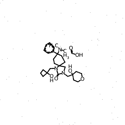 CN(C)C1(c2ccccc2)CCC2(CC1)CN(CC1(O)CCOCC1)C(=O)N2CC1(O)CCC1.O=CO